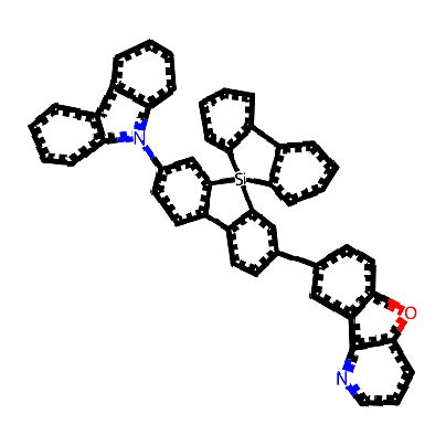 c1ccc2c(c1)-c1ccccc1[Si]21c2cc(-c3ccc4oc5cccnc5c4c3)ccc2-c2ccc(-n3c4ccccc4c4ccccc43)cc21